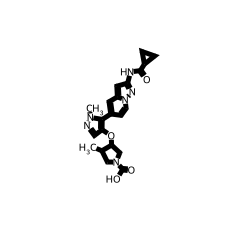 CC1CN(C(=O)O)CC1Oc1cnn(C)c1-c1ccn2nc(NC(=O)C3CC3)cc2c1